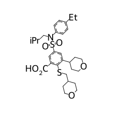 CCc1ccc(N(CC(C)C)S(=O)(=O)c2cc(C(=O)O)c(SCC3CCOCC3)c(C3CCOCC3)c2)cc1